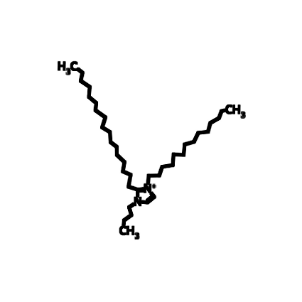 CCCCCCCCCCCCCCCCCc1n(CCCC)cc[n+]1CCCCCCCCCCCCCC